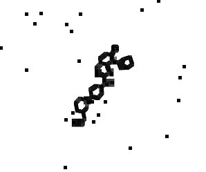 O=c1ccc2cnc(Nc3ccc(N4CCCC(CO)C4)cc3)nc2n1C1CC2CCC1C2